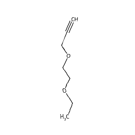 C#CCOCCOCC